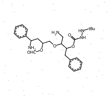 CC(C)(C)NNC(=O)OC(Cc1ccccc1)C(CN)OCC(CC(N)c1ccccc1)OC=O